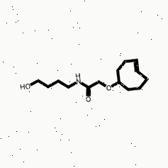 O=C(COC1CC/C=C/CCC1)NCCCCO